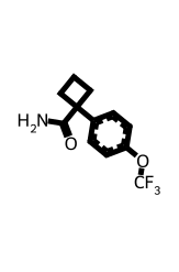 NC(=O)C1(c2ccc(OC(F)(F)F)cc2)CCC1